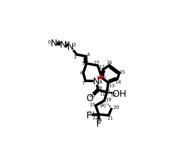 [N-]=[N+]=NCC=C1CCN(C(=O)[C@](O)(c2ccccc2)[C@@H]2CCC(F)(F)C2)CC1